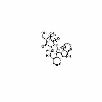 CN1C(=O)[C@]23SSS[C@@]1(CO)C(=O)N2[C@H]1Nc2ccccc2[C@@]1(c1c[nH]c2ccccc12)[C@@H]3O